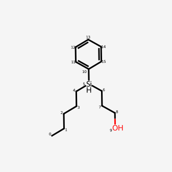 CCCCC[SiH](CCCO)c1ccccc1